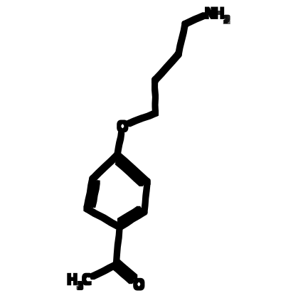 CC(=O)c1ccc(OCCCCN)cc1